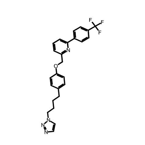 FC(F)(F)c1ccc(-c2cccc(COc3ccc(CCCCn4ccnn4)cc3)n2)cc1